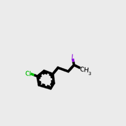 CC(I)CCc1cccc(Cl)c1